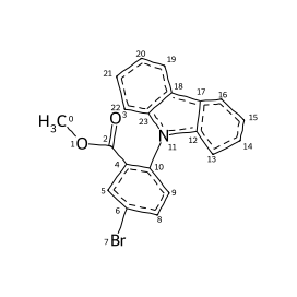 COC(=O)c1cc(Br)ccc1-n1c2ccccc2c2ccccc21